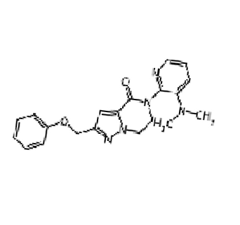 CN(C)c1cccnc1N1CCn2nc(COc3ccccc3)cc2C1=O